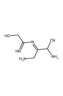 N#CC(N)C(CN)=NC(=N)CO